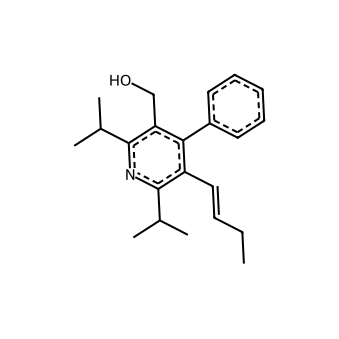 CCC=Cc1c(C(C)C)nc(C(C)C)c(CO)c1-c1ccccc1